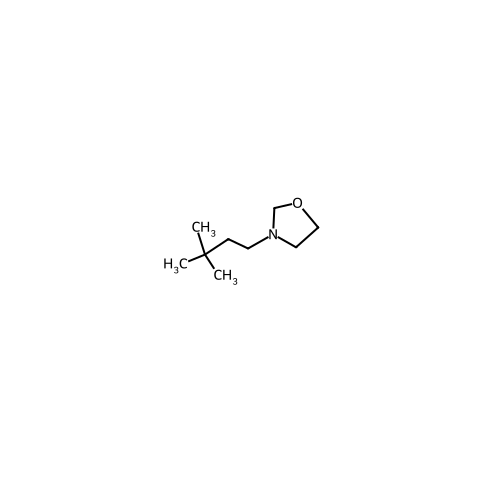 CC(C)(C)CCN1CCOC1